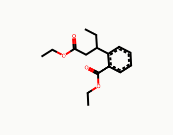 CCOC(=O)CC(CC)c1ccccc1C(=O)OCC